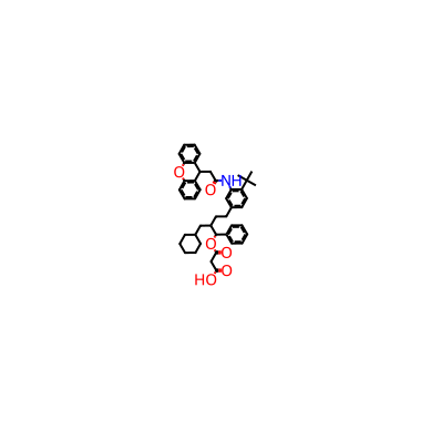 CC(C)(C)c1ccc(CCC(CC2CCCCC2)C(OC(=O)CC(=O)O)c2ccccc2)cc1NC(=O)CC1c2ccccc2Oc2ccccc21